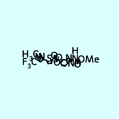 COC(=O)Nc1nc2cc(OS(=O)(=O)c3ccc(-c4cc(C(F)(F)F)n(C)n4)s3)ccc2[nH]1